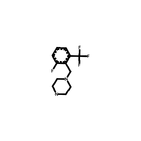 Fc1cccc(C(F)(F)F)c1CN1CC[N]CC1